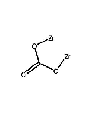 O=C([O][Zr])[O][Zr]